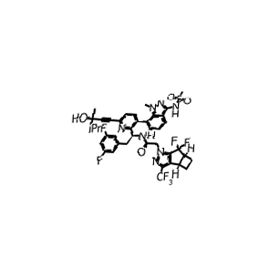 CC(C)C(C)(O)C#Cc1ccc(-c2cccc3c(NS(C)(=O)=O)nn(C)c23)c([C@H](Cc2cc(F)cc(F)c2)NC(=O)Cn2nc(C(F)(F)F)c3c2C(F)(F)[C@@H]2CC[C@H]32)n1